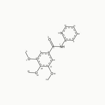 COc1cc(C(=O)Nc2ccccn2)cc(OC)c1OC